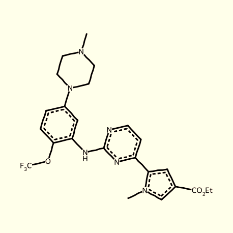 CCOC(=O)c1cc(-c2ccnc(Nc3cc(N4CCN(C)CC4)ccc3OC(F)(F)F)n2)n(C)c1